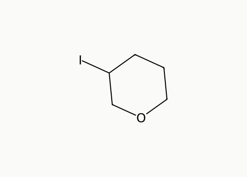 IC1CCCOC1